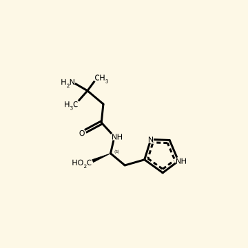 CC(C)(N)CC(=O)N[C@@H](Cc1c[nH]cn1)C(=O)O